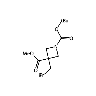 COC(=O)C1(CC(C)C)CN(C(=O)OC(C)(C)C)C1